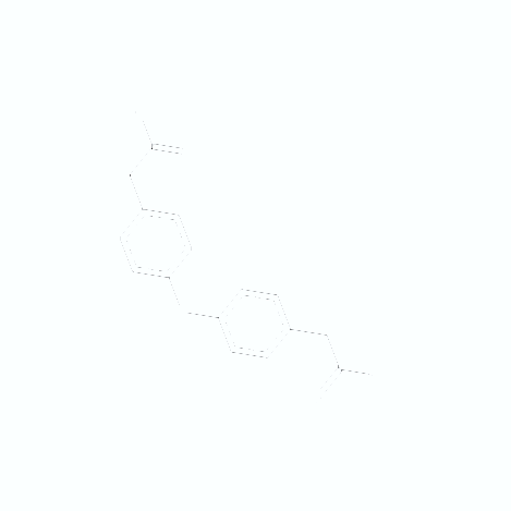 O=C(O)Cc1ccc(Sc2ccc(CC(=O)O)cc2)cc1